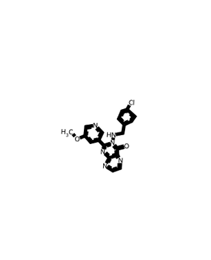 COc1cncc(-c2nc3nccnc3c(=O)n2NCc2ccc(Cl)cc2)c1